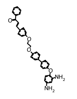 Nc1ccc(Oc2ccc(-c3ccc(OCCOc4ccc(/C=C/C(=O)c5ccccc5)cc4)cc3)cc2)c(N)c1